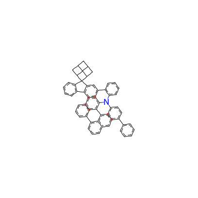 c1ccc(-c2ccc(N(c3ccccc3-c3ccc4c(c3)C3(c5ccccc5-4)C4CC5CC6CC3C564)c3ccccc3-c3cccc4cccc(-c5ccccc5)c34)cc2)cc1